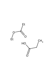 CCC(=O)O.CCOC(=O)CC